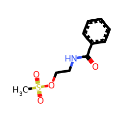 CS(=O)(=O)OCCNC(=O)c1ccccc1